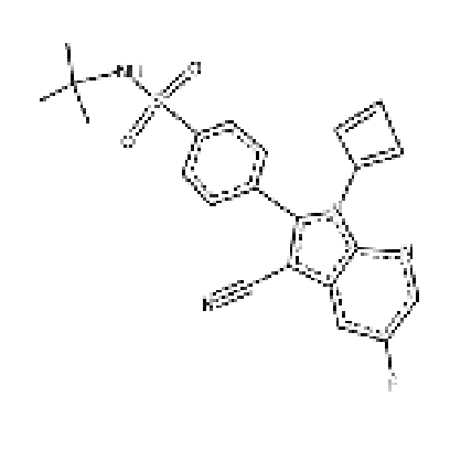 CC(C)(C)NS(=O)(=O)c1ccc(-c2c(C#N)c3cc(F)cnc3n2C2=CC=C2)cc1